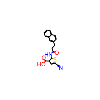 N#CC1=CC(C(=O)O)C(NC(=O)CCc2ccc3ccccc3c2)S1